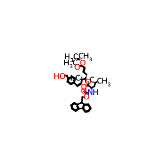 CC(C)CC(NC(=O)OCC1c2ccccc2-c2ccccc21)C(=O)O[C@@H](CC=CC(=O)OC(C)(C)C)[C@H](C)C=Cc1ccc(CO)cc1